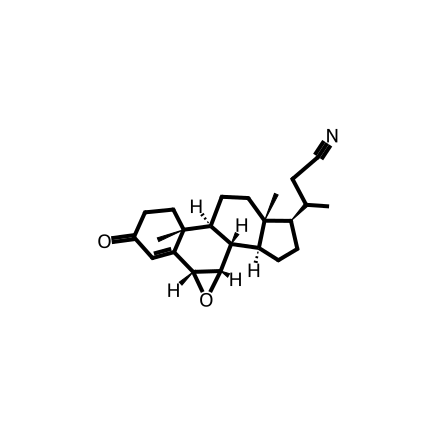 CC(CC#N)[C@H]1CC[C@H]2[C@@H]3[C@@H]4O[C@@H]4C4=CC(=O)CC[C@]4(C)[C@H]3CC[C@]12C